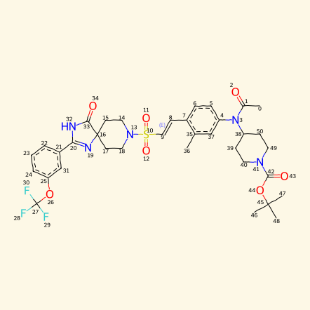 CC(=O)N(c1ccc(/C=C/S(=O)(=O)N2CCC3(CC2)N=C(c2cccc(OC(F)(F)F)c2)NC3=O)c(C)c1)C1CCN(C(=O)OC(C)(C)C)CC1